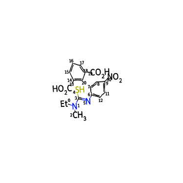 CCN(C)C(S)=Nc1ccc([N+](=O)[O-])cc1.O=C(O)c1cccc(C(=O)O)c1